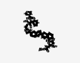 CCCN(Cc1nc2ccc3cc(-c4ccc5cc(-c6cnc(CN(CCC)C(=O)[C@H](NC(=O)N7CCOCC7)c7ccccc7)[nH]6)ccc5c4)ccc3c2[nH]1)C(=O)CNC(=O)OC